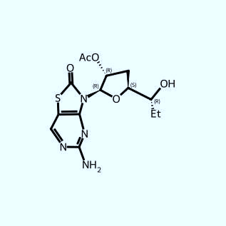 CC[C@@H](O)[C@@H]1C[C@@H](OC(C)=O)[C@H](n2c(=O)sc3cnc(N)nc32)O1